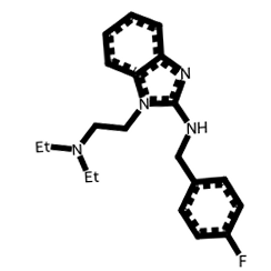 CCN(CC)CCn1c(NCc2ccc(F)cc2)nc2ccccc21